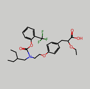 CCOC(Cc1ccc(OCCN(CC(CC)CC)C(=O)Oc2ccccc2C(F)(F)F)cc1)C(=O)O